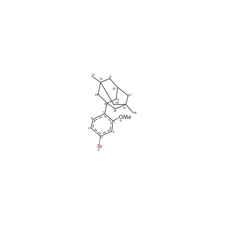 COc1cc(Br)ccc1C12CC3CC(C)(CC(C)(C3)C1)C2